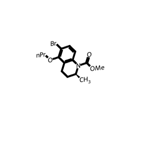 CCCOc1c(Br)ccc2c1CC[C@H](C)N2C(=O)OC